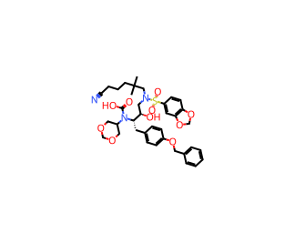 CC(C)(CCCC#N)CN(C[C@@H](O)[C@H](Cc1ccc(OCc2ccccc2)cc1)N(C(=O)O)C1COCOC1)S(=O)(=O)c1ccc2c(c1)OCO2